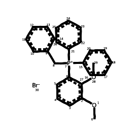 COc1cccc([P+](Cc2ccccc2)(c2ccccc2)c2ccccc2)c1OC.[Br-]